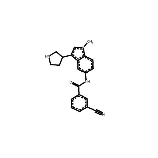 Cn1cc(C2CCNC2)c2cc(NC(=O)c3cccc(C#N)c3)ccc21